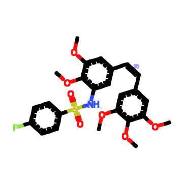 COc1cc(/C=C\c2cc(OC)c(OC)c(OC)c2)cc(NS(=O)(=O)c2ccc(F)cc2)c1OC